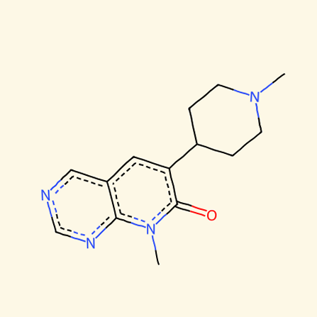 CN1CCC(c2cc3cncnc3n(C)c2=O)CC1